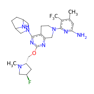 Cc1cc(N)nc(N2CCc3c(nc(OC[C@@H]4C[C@@H](F)CN4C)nc3N3CC4CCC(C3)N4)C2)c1C(F)(F)F